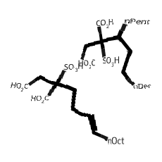 CCCCCCCCC=CCCC(CC(=O)O)(C(=O)O)S(=O)(=O)O.CCCCCCCCCCCCC(CCCCC)C(CC(=O)O)(C(=O)O)S(=O)(=O)O